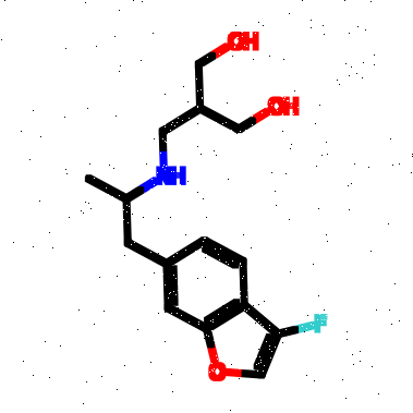 CC(Cc1ccc2c(F)coc2c1)NCC(CO)CO